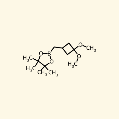 COC1(OC)CC(CB2OC(C)(C)C(C)(C)O2)C1